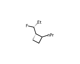 CCCC1CC[C@@H]1[C@H](F)CC